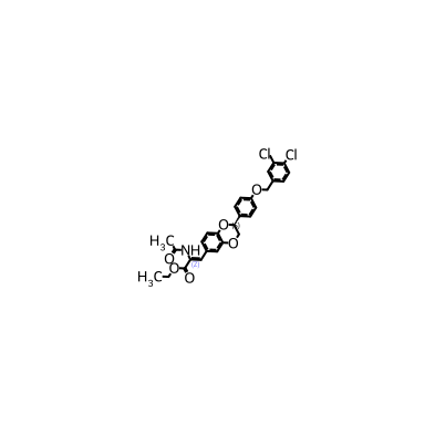 CCOC(=O)/C(=C/c1ccc2c(c1)OC[C@H](c1ccc(OCc3ccc(Cl)c(Cl)c3)cc1)O2)NC(C)=O